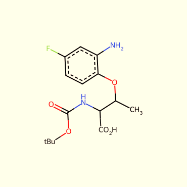 CC(Oc1ccc(F)cc1N)C(NC(=O)OC(C)(C)C)C(=O)O